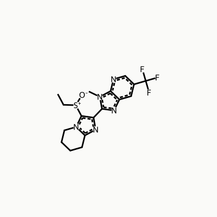 CC[S+]([O-])c1c(-c2nc3cc(C(F)(F)F)cnc3n2C)nc2n1CCCC2